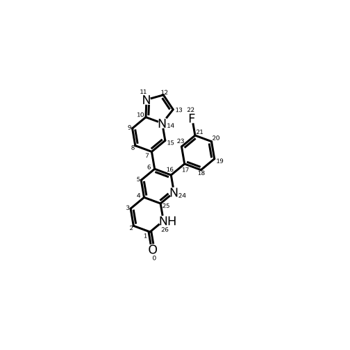 O=c1ccc2cc(-c3ccc4nccn4c3)c(-c3cccc(F)c3)nc2[nH]1